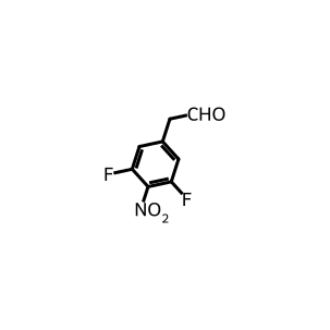 O=CCc1cc(F)c([N+](=O)[O-])c(F)c1